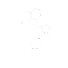 COc1ccccc1Cn1ccnc1C1CCC(C(F)(F)F)CC1